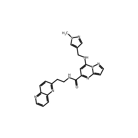 Cn1cc(CNc2cc(C(=O)NCCc3ccc4ncccc4n3)nc3ccnn23)cn1